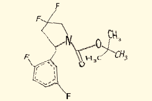 CC(C)(C)OC(=O)N1CC(F)(F)CC1c1cc(F)ccc1F